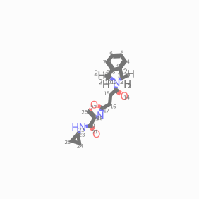 [2H]C1([2H])c2ccccc2C([2H])([2H])N1C(=O)CCc1nc(C(=O)NC2CC2)co1